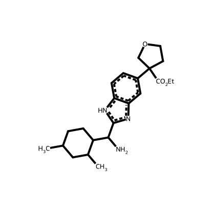 CCOC(=O)C1(c2ccc3[nH]c(C(N)C4CCC(C)CC4C)nc3c2)CCOC1